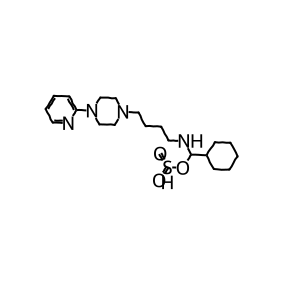 O=[SH](=O)OC(NCCCCN1CCN(c2ccccn2)CC1)C1CCCCC1